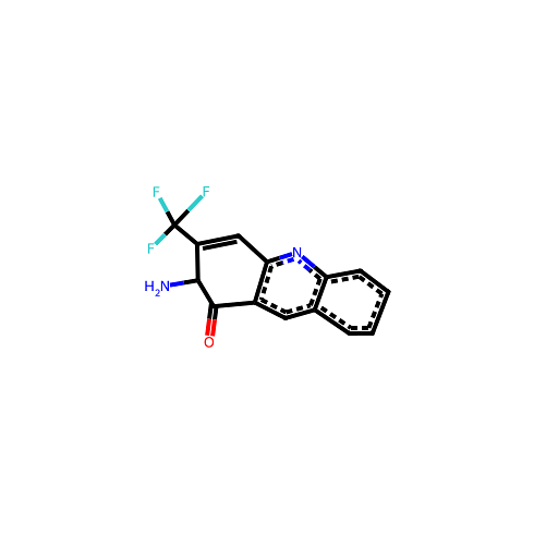 NC1C(=O)c2cc3ccccc3nc2C=C1C(F)(F)F